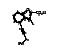 CCOC(=O)c1oc2cccc(C#CCC(C)C)c2c1C